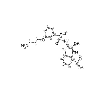 Cl.NCCCOc1cccc(CC(=O)N[C@@H](Cc2cccc(C(=O)O)c2)B(O)O)c1